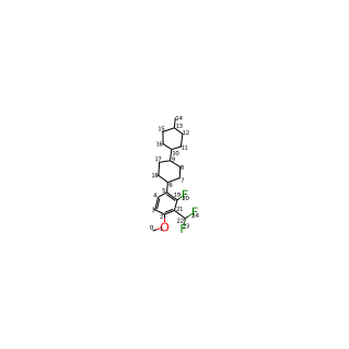 COc1ccc(C2CCC(C3CCC(C)CC3)CC2)c(F)c1C(F)F